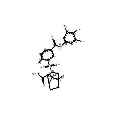 COC(=O)C[C@@]1(O)C2CC[C@H]1C[C@H](S(=O)(=O)c1cc(C(=O)Nc3cc(F)c(F)c(F)c3)ccc1Cl)C2